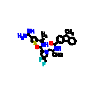 CC1c2ccccc2-c2cc(C(=O)NC(C=O)CN3C[C@@](F)(CF)C[C@H]3C(=O)N[C@H](C)c3cc(C(=N)N)cs3)ccc21